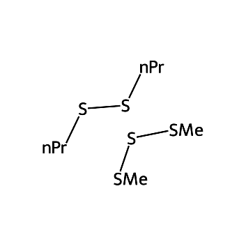 CCCSSCCC.CSSSC